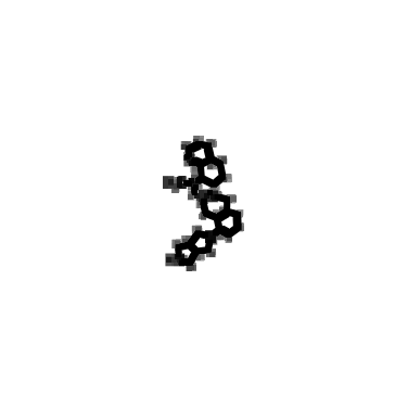 CN(C[C@H]1Cc2c(cccc2N2CC3CNCC3C2)CN1)C1CCCc2cccnc21